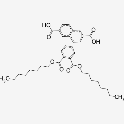 CCCCCCCCOC(=O)c1ccccc1C(=O)OCCCCCCCC.O=C(O)c1ccc2cc(C(=O)O)ccc2c1